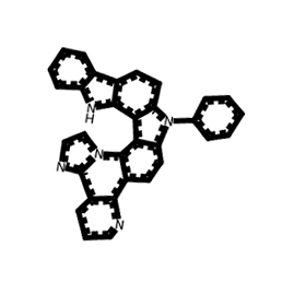 c1ccc(-n2c3ccc4c5ccccc5[nH]c4c3c3c2ccc2c4ncccc4c4nccn4c23)cc1